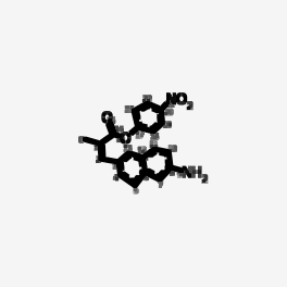 CC(=Cc1ccc2cc(N)ccc2c1)C(=O)Oc1ccc([N+](=O)[O-])cc1